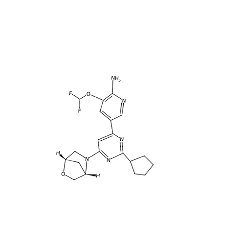 Nc1ncc(-c2cc(N3C[C@@H]4C[C@H]3CO4)nc(C3CCCC3)n2)cc1OC(F)F